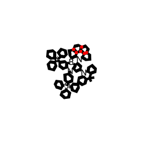 CC1(C)c2ccccc2N(c2cc3c4c(c2)N(c2ccccc2-c2ccccc2)c2c(cccc2-c2ccccc2)B4c2cc([Si](c4ccccc4)(c4ccccc4)c4ccccc4)ccc2N3c2ccc([Si](c3ccccc3)(c3ccccc3)c3ccccc3)cc2)c2ccccc21